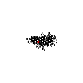 Bc1c(B)c(B)c(-c2c(B)c(B)c(-c3c4c(B)c(B)c(B)c(B)c4c(-c4c(B)c(B)c5c(B)c(B)c6c(B)c(B)c(B)c(B)c6c5c4B)c4c(B)c(B)c(B)c(B)c34)c(B)c2B)c(B)c1B